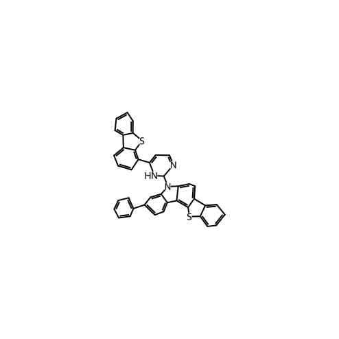 C1=NC(n2c3cc(-c4ccccc4)ccc3c3c4sc5ccccc5c4ccc32)NC(c2cccc3c2sc2ccccc23)=C1